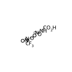 O=C(O)CCNCC(=O)N1CCc2cc(OCc3cc(C(F)(F)F)n(-c4ccccc4)n3)ccc21